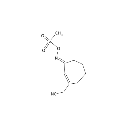 CS(=O)(=O)ON=C1C=C(CC#N)CCCC1